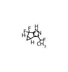 CC(F)c1n[nH]c2c1[C@H]1C[C@H]1C2(F)F